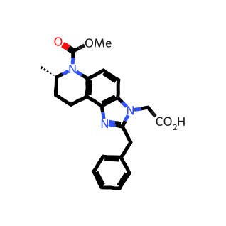 COC(=O)N1c2ccc3c(nc(Cc4ccccc4)n3CC(=O)O)c2CC[C@@H]1C